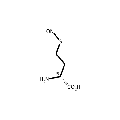 N[C@H](CCSN=O)C(=O)O